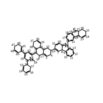 CC1C2=CCC(C3=CC4c5ccccc5N(c5ccc6c(c5)C5C=CCCC5S6)C4C=C3)CC2C2C=CCCC2C1C1=CC(C2=CCCC=C2)=CC(C2C=CC=CC2)N1C